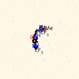 CC/N=C\C(N[C@@H](C)CCCn1ccc2c(C)c(-c3ncc(C(F)(F)F)cn3)ccc2c1=O)=C(/C(=O)NC)C(F)(F)F